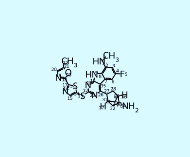 CNc1cc(F)cc2c1[nH]c1nc(Sc3cnc(-c4ncc(C)o4)s3)nc(C3C[C@H]4C[C@@H]3C[C@H]4N)c12